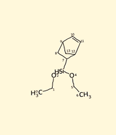 CCO[SiH](OCC)C1CC2C=CC1C2